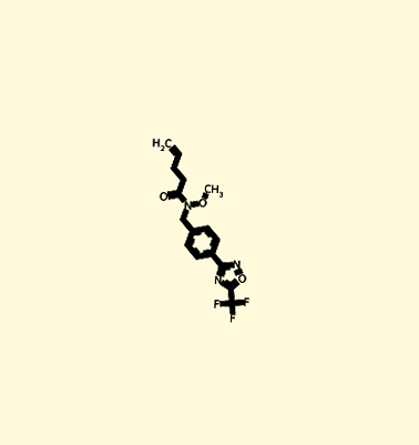 C=CCCC(=O)N(Cc1ccc(-c2noc(C(F)(F)F)n2)cc1)OC